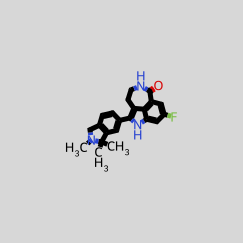 CN1Cc2ccc(-c3[nH]c4cc(F)cc5c4c3CCNC5=O)cc2C1(C)C